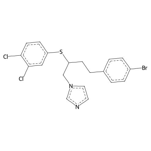 Clc1ccc(SC(CCc2ccc(Br)cc2)Cn2ccnc2)cc1Cl